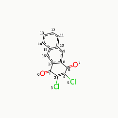 O=C1C(Cl)=C(Cl)C(=O)c2cc3ccccc3cc21